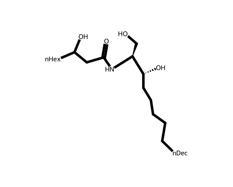 CCCCCCCCCCCCCCC[C@@H](O)[C@H](CO)NC(=O)CC(O)CCCCCC